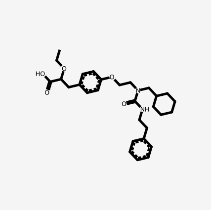 CCOC(Cc1ccc(OCCN(CC2CCCCC2)C(=O)NCCc2ccccc2)cc1)C(=O)O